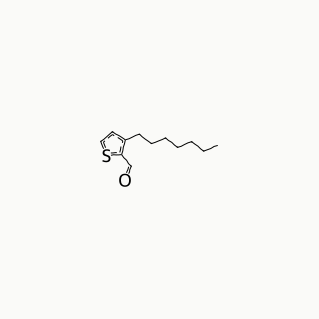 CCCCCCCc1ccsc1C=O